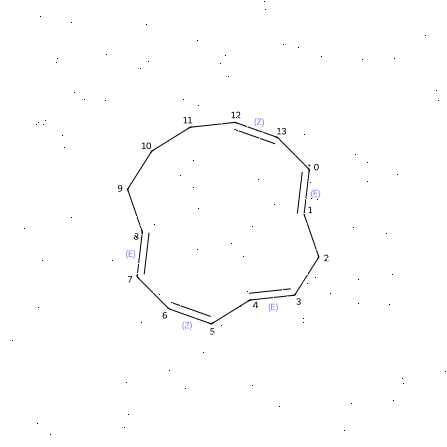 [C]1=C/C/C=C/C=C\C=C\CCC\C=C/1